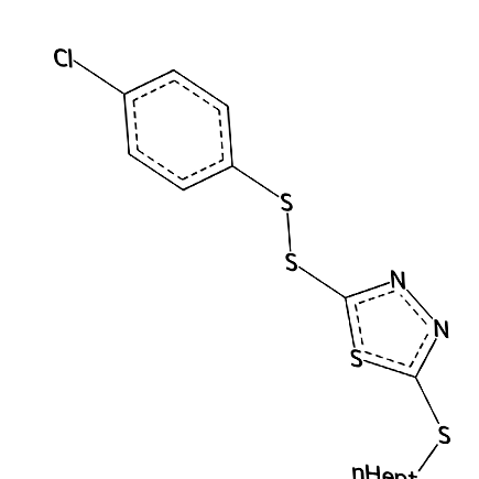 CCCCCCCSc1nnc(SSc2ccc(Cl)cc2)s1